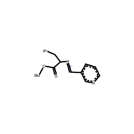 CC(C)CC(/N=C/c1cccnc1)C(=O)OC(C)(C)C